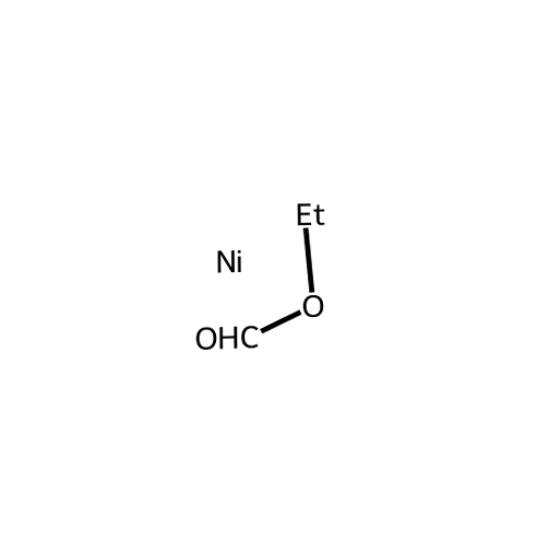 CCOC=O.[Ni]